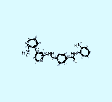 Nc1ccccc1NC(=O)c1ccc(CNc2cc(-c3cccnc3N)ncn2)cc1